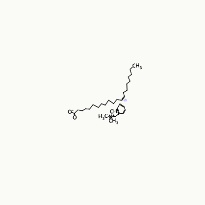 CCCCCCCC/C=C\CCCCCCCCCCCC(=O)[O-].C[N+](C)(C)Cc1ccccc1